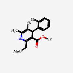 CCc1ccccc1C1C(C#N)=C(C)NC(COC)=C1C(=O)OC(C)C